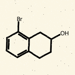 OC1CCc2cccc(Br)c2C1